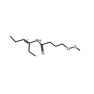 CC/C=C(\CC)NC(=O)CCCOOC